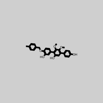 COc1c(-c2ccc(O)cc2)cc(O)c(-c2ccc(OCc3ccc(C)cc3)c(O)c2)c1OC